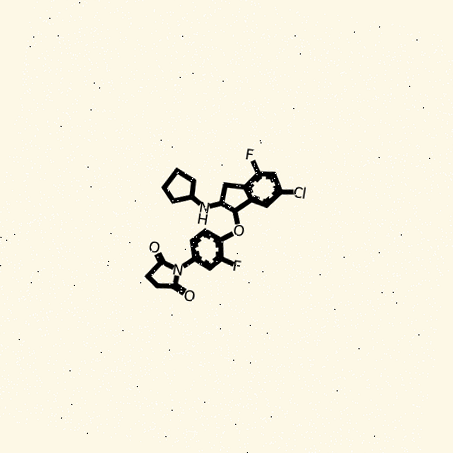 O=C1CCC(=O)N1c1ccc(OC2c3cc(Cl)cc(F)c3CC2NC2CCCC2)c(F)c1